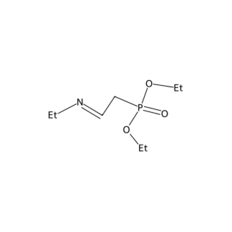 CCN=CCP(=O)(OCC)OCC